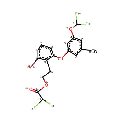 N#Cc1cc(Oc2cccc(Br)c2CCOC(=O)C(F)F)cc(OC(F)F)c1